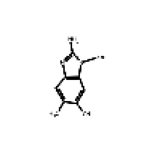 Cc1cc2nc(N)n(C(C)(C)C)c2cc1C#N